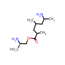 CC(N)CC(C)CC(C)C(=O)OC[C@H](N)C(=O)O